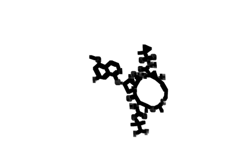 COc1cc(F)cc2c(O[C@@H]3C[C@H]4C(=O)N[C@]5(C(=O)NS(=O)(=O)C6(C)CC6)C[C@H]5C=CCC[C@@H](C)O[C@@H](C)[C@H](NC(=O)OC(C)(C)C(F)F)C(=O)N4C3)nccc12